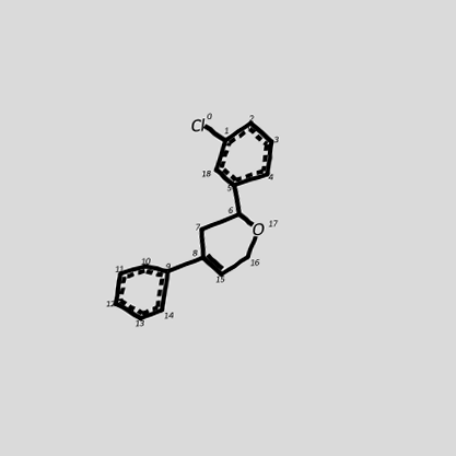 Clc1cccc(C2CC(c3ccccc3)=CCO2)c1